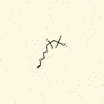 C=COCCOCC(F)(F)CC(F)(F)C(F)(F)F